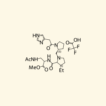 CC[C@H]1CCN(C[C@@H]2CCCN2C(=O)Cc2c[nH]cn2)C1C(=O)NC(CNC(C)=O)C(=O)OC.O=C(O)C(F)(F)F